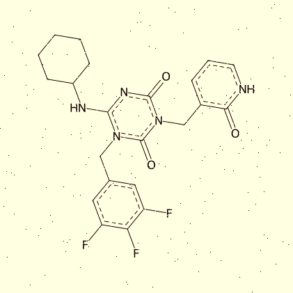 O=c1[nH]cccc1Cn1c(=O)nc(NC2CCCCC2)n(Cc2cc(F)c(F)c(F)c2)c1=O